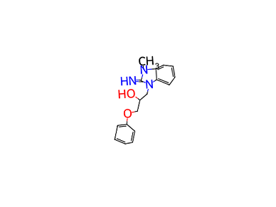 Cn1c(=N)n(CC(O)COc2ccccc2)c2ccccc21